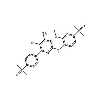 COc1nc(P(C)(C)=O)ccc1Nc1nc(N)c(Cl)c(-c2ccc(P(C)(C)=O)cc2)n1